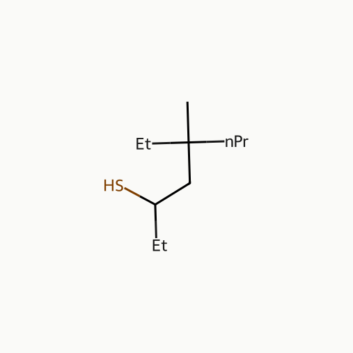 CCCC(C)(CC)CC(S)CC